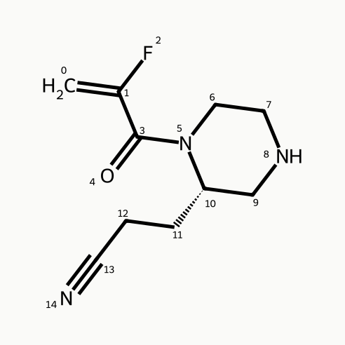 C=C(F)C(=O)N1CCNC[C@@H]1CCC#N